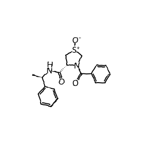 C[C@@H](NC(=O)[C@@H]1C[S@@+]([O-])CN1C(=O)c1ccccc1)c1ccccc1